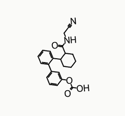 N#CCNC(=O)C1CCCCC1c1ccccc1-c1cccc(OC(=O)O)c1